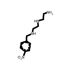 NCCNCCNCc1ccc([N+](=O)[O-])cc1